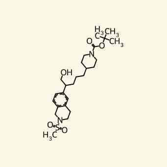 CC(C)(C)OC(=O)N1CCC(CCCC(CO)c2ccc3c(c2)CCN(S(C)(=O)=O)C3)CC1